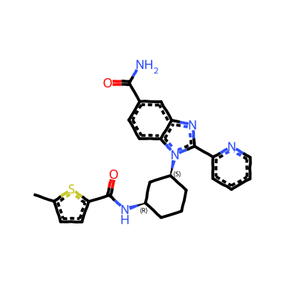 Cc1ccc(C(=O)N[C@@H]2CCC[C@H](n3c(-c4ccccn4)nc4cc(C(N)=O)ccc43)C2)s1